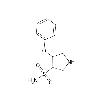 NS(=O)(=O)C1CN[CH]C1Oc1ccccc1